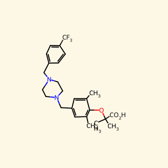 Cc1cc(CN2CCN(Cc3ccc(C(F)(F)F)cc3)CC2)cc(C)c1OC(C)(C)C(=O)O